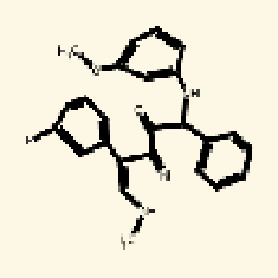 CN/C=C(\C(=N)C(=O)C(Nc1cccc(OC)c1)c1ccccc1)c1cccc(F)c1